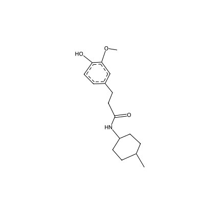 COc1cc(CCC(=O)NC2CCC(C)CC2)ccc1O